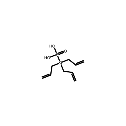 C=CC[Si](CC=C)(CC=C)P(=O)(O)O